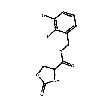 O=C1NC(C(=O)NCc2cccc(Cl)c2F)CO1